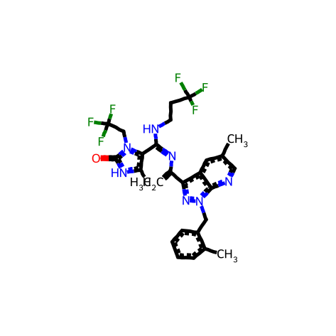 C=C(/N=C(/NCCC(F)(F)F)c1c(C)[nH]c(=O)n1CC(F)(F)F)c1nn(Cc2ccccc2C)c2ncc(C)cc12